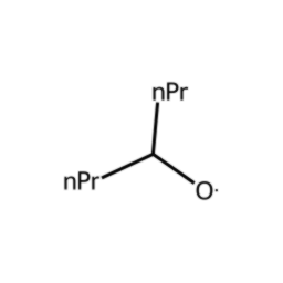 CCCC([O])CCC